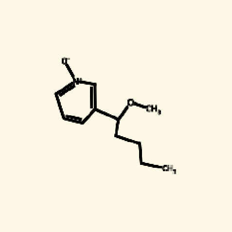 CCCCC(OC)c1ccc[n+]([O-])c1